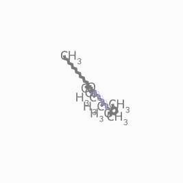 CCCCCCCCCCCCCC(=O)OC(=O)/C=C(C)/C=C/C=C(C)/C=C/C1=C(C)CCCC1(C)C